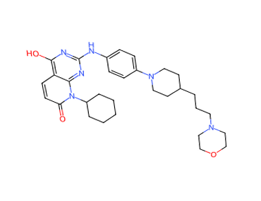 O=c1ccc2c(O)nc(Nc3ccc(N4CCC(CCCN5CCOCC5)CC4)cc3)nc2n1C1CCCCC1